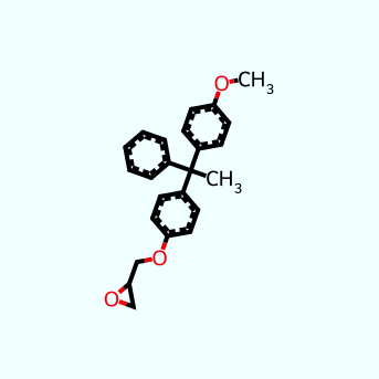 COc1ccc(C(C)(c2ccccc2)c2ccc(OCC3CO3)cc2)cc1